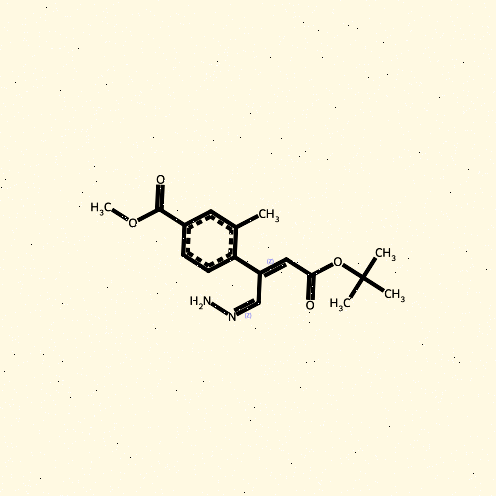 COC(=O)c1ccc(C(/C=N\N)=C/C(=O)OC(C)(C)C)c(C)c1